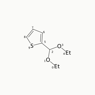 CCOC(OCC)c1cccs1